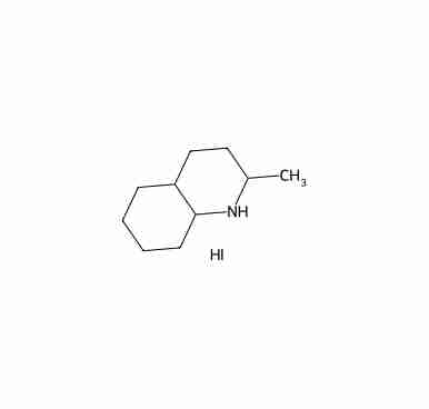 CC1CCC2CCCCC2N1.I